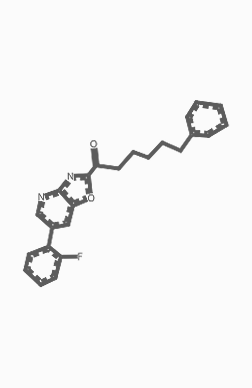 O=C(CCCCCc1ccccc1)c1nc2ncc(-c3ccccc3F)cc2o1